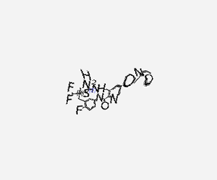 C/N=C(/N)S[C@](C)(Cc1cc(NC(=O)c2ncc(OCc3ncco3)cc2C)ccc1F)C(F)F